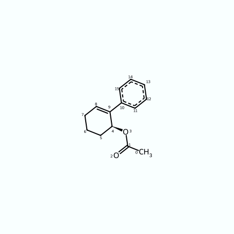 CC(=O)O[C@H]1CCCC=C1c1ccccc1